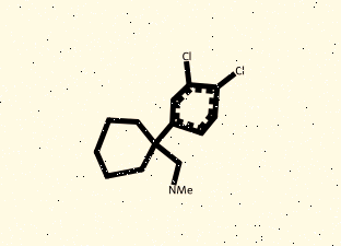 CNCC1(c2ccc(Cl)c(Cl)c2)CCCCC1